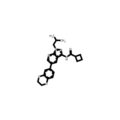 CC(C)Cn1nc(NC(=O)C2CCC2)c2cc(-c3ccc4c(c3)OCCO4)cnc21